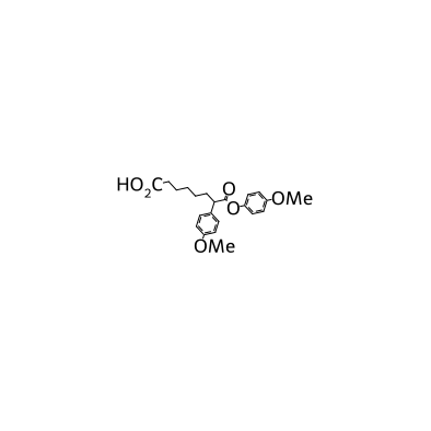 COc1ccc(OC(=O)C(CCCCCC(=O)O)c2ccc(OC)cc2)cc1